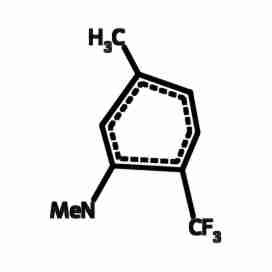 CNc1cc(C)ccc1C(F)(F)F